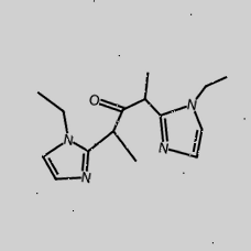 CCn1ccnc1C(C)C(=O)C(C)c1nccn1CC